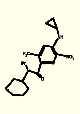 CC(C)N(C(=O)c1cc([N+](=O)[O-])c(NC2CC2)cc1C(F)(F)F)C1CCCCC1